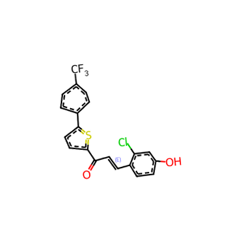 O=C(/C=C/c1ccc(O)cc1Cl)c1ccc(-c2ccc(C(F)(F)F)cc2)s1